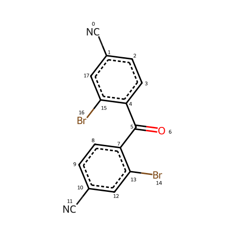 N#Cc1ccc(C(=O)c2ccc(C#N)cc2Br)c(Br)c1